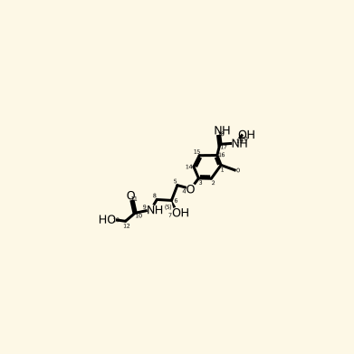 Cc1cc(OC[C@@H](O)CNC(=O)CO)ccc1C(=N)NO